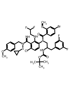 C=Nc1cc(Br)ccc1C(=O)N(CC(Cc1cc(F)cc(F)c1)NC(=O)OC(C)(C)C)c1ccc(Cl)c(C(=N)N(Cc2ccc(OC)cc2)SC2CC2)c1NCC(F)F